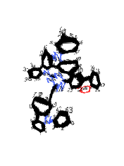 c1ccc(-n2c3ccccc3c3ccc(-c4nc(-c5ccc6c(c5)oc5ccccc56)nc(-n5c6ccccc6c6ccc7c(c8ccccc8n7-c7ccccc7)c65)n4)cc32)cc1